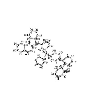 c1ccc(N(c2ccc(-c3cccc4oc5cnccc5c34)cc2)c2cccc(-n3c4ccccc4c4c5ccccc5ccc43)c2)cc1